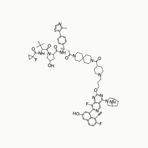 C#Cc1c(F)ccc2cc(O)cc(-c3ncc4c(N5CC6CCC(C5)N6)nc(OCCCN5CCC(C(=O)N6CCC7(CCN(C(=O)C[C@H](NC(=O)C8CC(O)CN8C(=O)C(NC(=O)C8(F)CC8)C(C)(C)C)c8ccc(-c9scnc9C)cc8)CC7)CC6)CC5)nc4c3F)c12